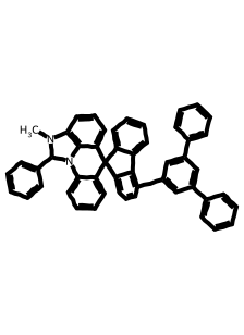 CN1c2cccc3c2N(c2ccccc2C32c3ccccc3-c3c(-c4cc(-c5ccccc5)cc(-c5ccccc5)c4)cccc32)C1c1ccccc1